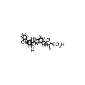 COc1ncccc1-c1ccc(O)c(-c2nc3cc(C(=O)NC(C)CC(=O)O)ccc3[nH]2)c1